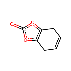 O=c1oc2c(o1)CC=CC2